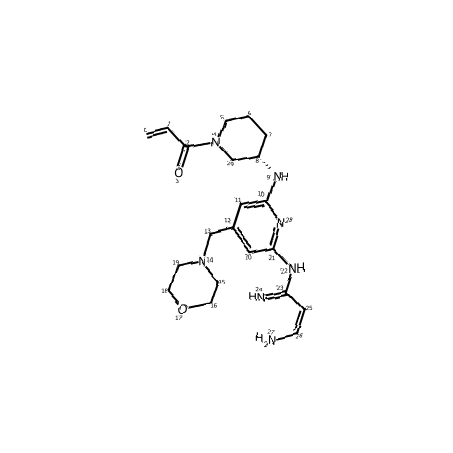 C=CC(=O)N1CCC[C@H](Nc2cc(CN3CCOCC3)cc(NC(=N)/C=C\N)n2)C1